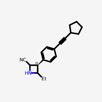 CCC1NC(C#N)[C@H]1c1ccc(C#CC2CCCC2)cc1